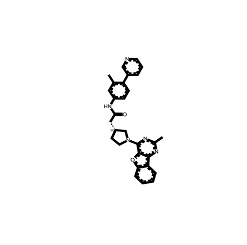 Cc1nc(N2CC[C@H](CC(=O)Nc3ccc(-c4cccnc4)c(C)c3)C2)c2oc3ccccc3c2n1